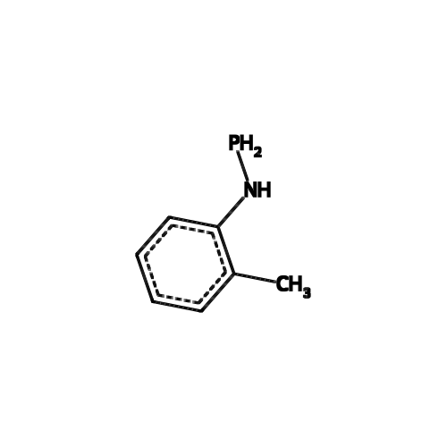 Cc1ccccc1NP